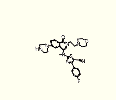 CN(c1nc(-c2ccc(F)cc2)c(C#N)s1)c1cn(CCN2CCOCC2)c(=O)c2ccc(N3CCNCC3)cc12